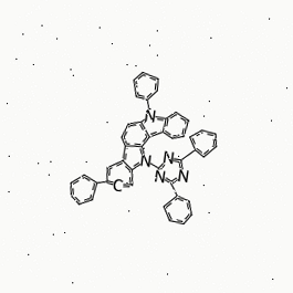 c1ccc(-c2ccc3c(c2)c2ccc4c(c5ccccc5n4-c4ccccc4)c2n3-c2nc(-c3ccccc3)nc(-c3ccccc3)n2)cc1